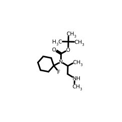 CNCC(C)N(C(=O)OC(C)(C)C)C1(F)CCCCC1